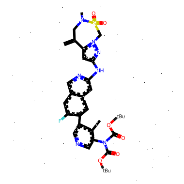 C=C1CN(C)S(=O)(=O)Cn2nc(Nc3cc4cc(-c5cncc(N(C(=O)OC(C)(C)C)C(=O)OC(C)(C)C)c5C)c(F)cc4cn3)cc21